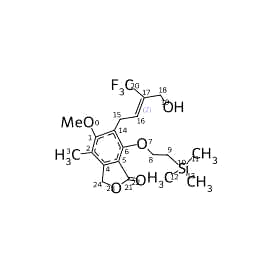 COc1c(C)c2c(c(OCC[Si](C)(C)C)c1C/C=C(/CO)C(F)(F)F)C(=O)OC2